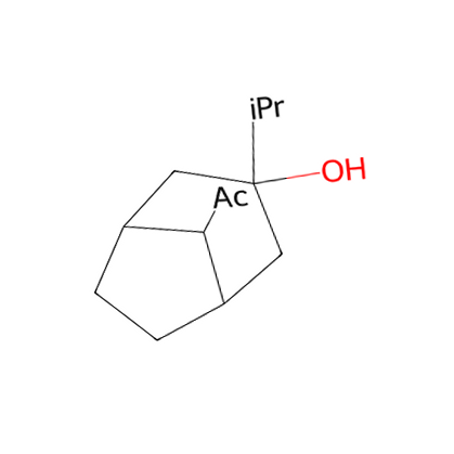 CC(=O)C1C2CCC1CC(O)(C(C)C)C2